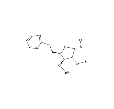 CCCO[C@@H]1[C@@H](OCC)[C@@H](OCC)O[C@@H]1CCc1ccccc1